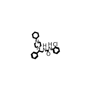 O=C(NCC(c1ccccc1)N1CCN(C2CCCCC2)CC1)Nc1ccccc1Cl